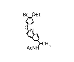 CCOc1ccc(Oc2ccc3cc(C(C)NC(C)=O)ccc3n2)cc1Br